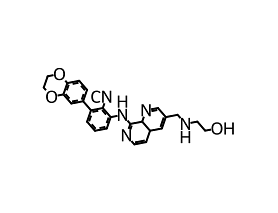 N#Cc1c(NC2=NC=CC3C=C(CNCCO)C=NC23)cccc1-c1ccc2c(c1)OCCO2